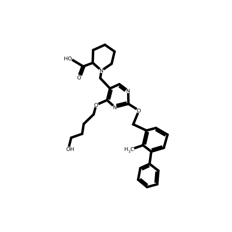 Cc1c(COc2ncc(CN3CCCCC3C(=O)O)c(OCCCCO)n2)cccc1-c1ccccc1